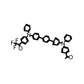 CC(=O)c1ccc(N(c2ccccc2)c2ccc(-c3ccc(-c4ccc(N(c5ccccc5)c5ccc(C(=O)C(F)(F)F)cc5)cc4)cc3)cc2)cc1